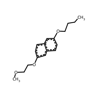 CCCCOc1ccc2cc(OCCOC)ccc2c1